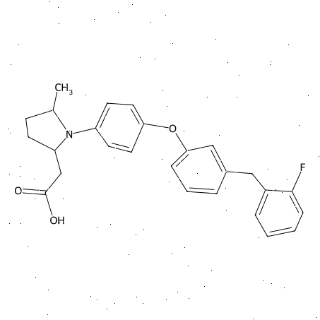 CC1CCC(CC(=O)O)N1c1ccc(Oc2cccc(Cc3ccccc3F)c2)cc1